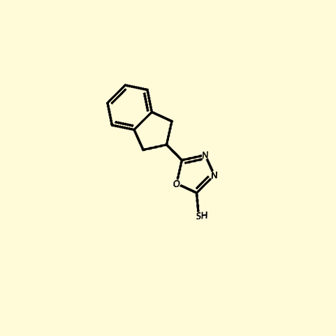 Sc1nnc(C2Cc3ccccc3C2)o1